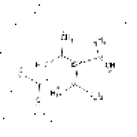 CC(C)[SiH](C(C)C)C(C)C.ClCCl